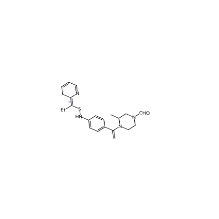 C=C(c1ccc(NS/C(CC)=C2/CC=CC=N2)cc1)N1CCN(C=O)CC1C